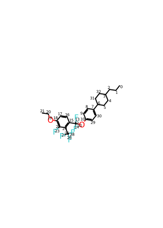 CCCC1CCC(c2ccc(OC(F)(F)c3ccc(OCC)c(F)c3C(F)(F)F)cc2)CC1